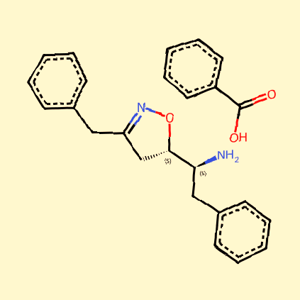 N[C@@H](Cc1ccccc1)[C@@H]1CC(Cc2ccccc2)=NO1.O=C(O)c1ccccc1